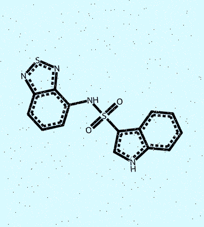 O=S(=O)(Nc1cccc2nsnc12)c1c[nH]c2ccccc12